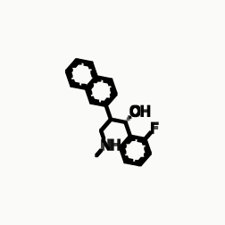 CNCC(c1ccc2ccccc2c1)[C@H](O)c1ccccc1F